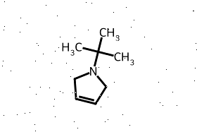 CC(C)(C)N1CC=CC1